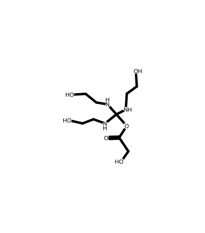 O=C(CO)OC(NCCO)(NCCO)NCCO